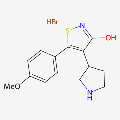 Br.COc1ccc(-c2snc(O)c2C2CCNC2)cc1